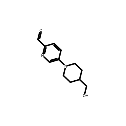 O=Cc1ccc(N2CCC(CO)CC2)cn1